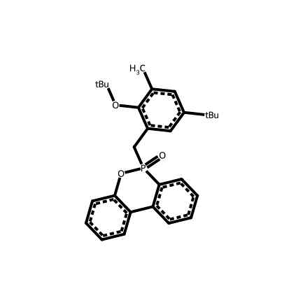 Cc1cc(C(C)(C)C)cc(CP2(=O)Oc3ccccc3-c3ccccc32)c1OC(C)(C)C